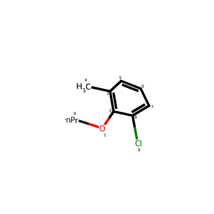 CC[CH]Oc1c(C)cccc1Cl